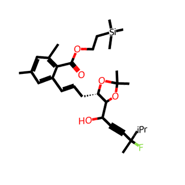 Cc1cc(C)c(C(=O)OCC[Si](C)(C)C)c(/C=C/C[C@@H]2OC(C)(C)OC2C(O)C#CC(C)(F)C(C)C)c1